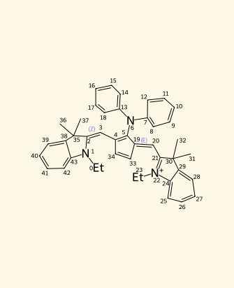 CCN1/C(=C\C2=C(N(c3ccccc3)c3ccccc3)C(=C/C3=[N+](CC)c4ccccc4C3(C)C)/C=C2)C(C)(C)c2ccccc21